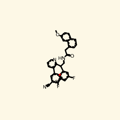 COc1ccc2cccc(CC(=O)NCC(c3cc(F)cc(F)c3)c3ncccc3-c3ccc(F)c(C#N)c3)c2c1